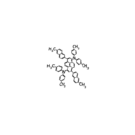 Cc1ccc(N(c2ccc(C)cc2)c2cc(-c3ccc4cc(C)ccc4c3)c3ccc4c(N(c5ccc(C)cc5)c5ccc(C)cc5)cc(-c5ccc6cc(C)ccc6c5)c5ccc2c3c54)cc1